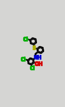 Oc1c(Cl)cc(Cl)cc1NCc1ccccc1Sc1cccc(Cl)c1